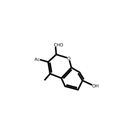 CC(=O)C1=C(C)c2ccc(O)cc2OC1C=O